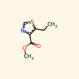 CCc1scnc1C(=O)OC